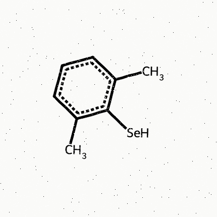 Cc1cccc(C)c1[SeH]